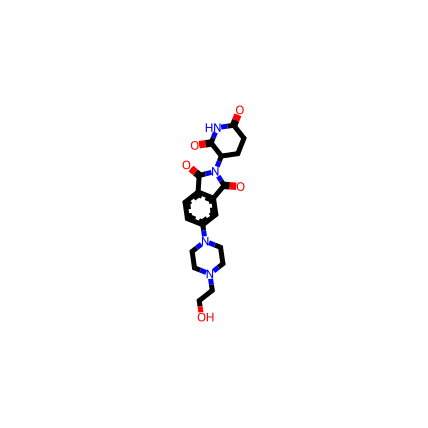 O=C1CCC(N2C(=O)c3ccc(N4CCN(CCO)CC4)cc3C2=O)C(=O)N1